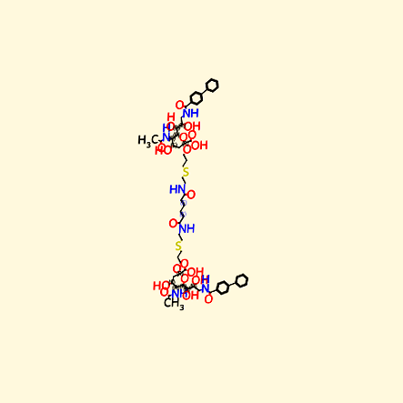 CC(=O)N[C@H]1[C@H]([C@H](O)[C@H](O)CNC(=O)c2ccc(-c3ccccc3)cc2)O[C@@](OCCCSCCNC(=O)/C=C/C=C/C(=O)NCCSCCCO[C@]2(C(=O)O)C[C@H](O)[C@@H](NC(C)=O)[C@H]([C@H](O)[C@H](O)CNC(=O)c3ccc(-c4ccccc4)cc3)O2)(C(=O)O)C[C@@H]1O